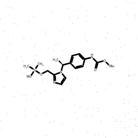 C[C@@H](c1ccc(NC(=O)OC(C)(C)C)cc1)n1ccnc1CO[Si](C)(C)C(C)(C)C